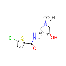 O=C(NC[C@@H]1CN(C(=O)O)C[C@H]1O)c1ccc(Cl)s1